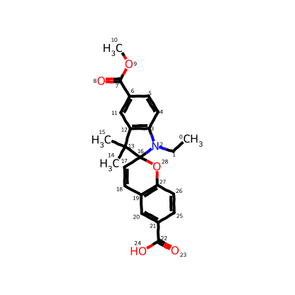 CCN1c2ccc(C(=O)OC)cc2C(C)(C)C12C=Cc1cc(C(=O)O)ccc1O2